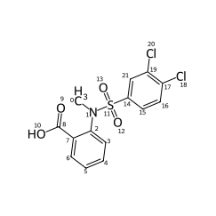 CN(c1ccccc1C(=O)O)S(=O)(=O)c1ccc(Cl)c(Cl)c1